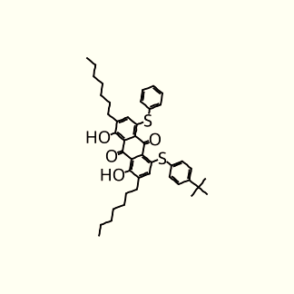 CCCCCCCc1cc(Sc2ccccc2)c2c(c1O)C(=O)c1c(O)c(CCCCCCC)cc(Sc3ccc(C(C)(C)C)cc3)c1C2=O